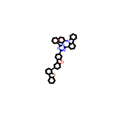 c1ccc(-c2nc(-c3ccc4c(c3)oc3ccc(-c5cccc6c5sc5ccccc56)cc34)nc(-c3cccc4c5ccccc5n(-c5ccccc5)c34)n2)cc1